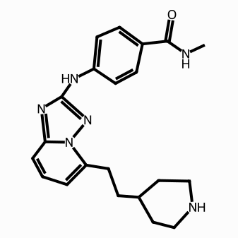 CNC(=O)c1ccc(Nc2nc3cccc(CCC4CCNCC4)n3n2)cc1